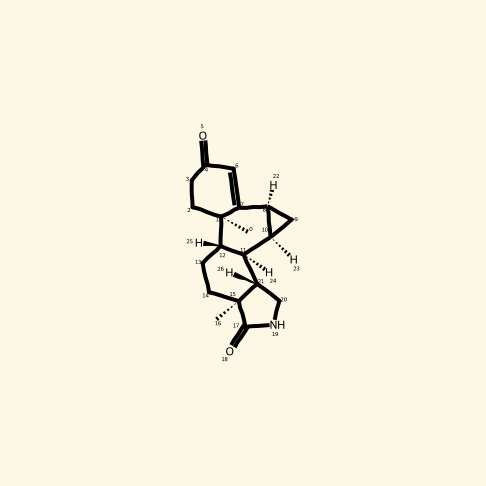 C[C@]12CCC(=O)C=C1[C@H]1C[C@H]1[C@@H]1[C@@H]2CC[C@]2(C)C(=O)NC[C@@H]12